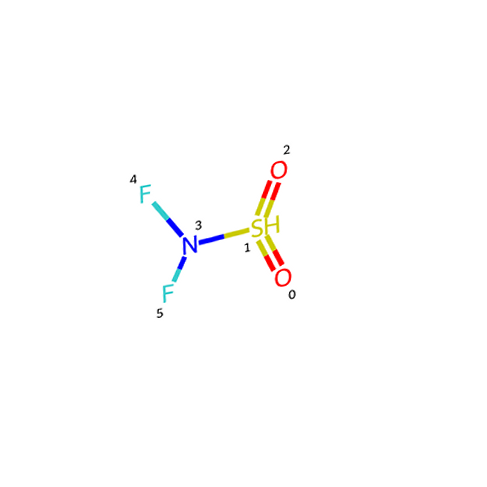 O=[SH](=O)N(F)F